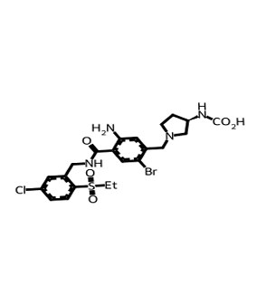 CCS(=O)(=O)c1ccc(Cl)cc1CNC(=O)c1cc(Br)c(CN2CC[C@@H](NC(=O)O)C2)cc1N